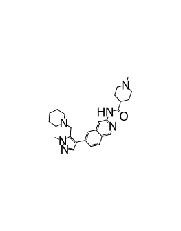 CN1CCC(C(=O)Nc2cc3cc(-c4cnn(C)c4CN4CCCCC4)ccc3cn2)CC1